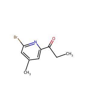 CCC(=O)c1cc(C)cc(Br)n1